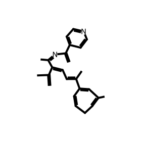 C=C(C)C(=C\C=C(/C)C1=CC(C)=CCC=C1)/C(C)=N\C(=C)c1ccncc1